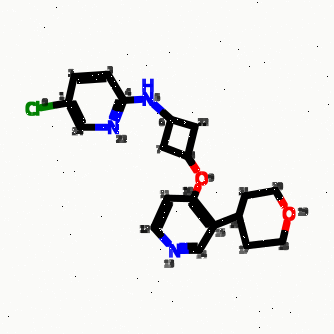 Clc1ccc(NC2CC(Oc3ccncc3C3CCOCC3)C2)nc1